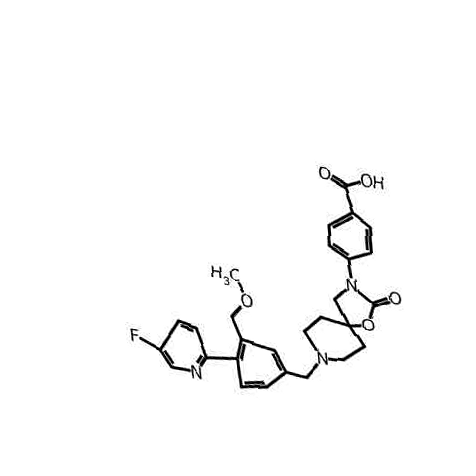 COCc1cc(CN2CCC3(CC2)CN(c2ccc(C(=O)O)cc2)C(=O)O3)ccc1-c1ccc(F)cn1